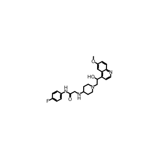 COc1ccc2nccc(C(O)CN3CCC(NCC(=O)Nc4ccc(F)cc4)CC3)c2c1